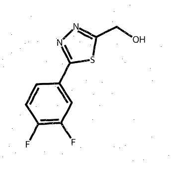 OCc1nnc(-c2ccc(F)c(F)c2)s1